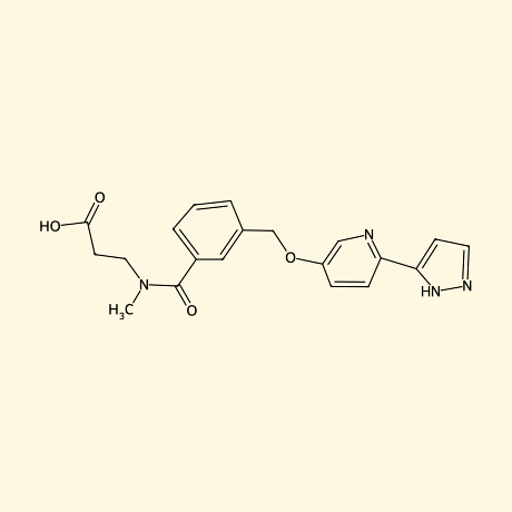 CN(CCC(=O)O)C(=O)c1cccc(COc2ccc(-c3ccn[nH]3)nc2)c1